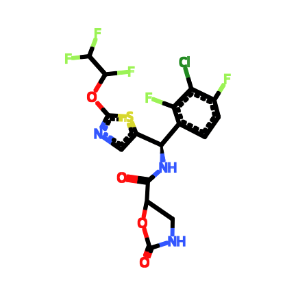 O=C1NCC(C(=O)N[C@@H](c2cnc(OC(F)C(F)F)s2)c2ccc(F)c(Cl)c2F)O1